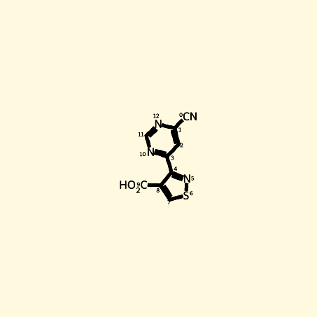 N#Cc1cc(-c2nscc2C(=O)O)ncn1